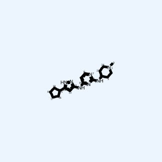 CN1CCC(Nc2nccc(Nc3cc(C4CCCC4)[nH]n3)n2)CC1